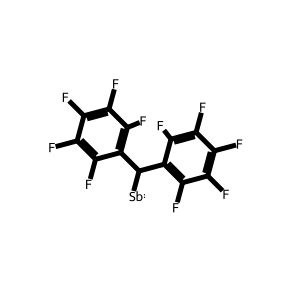 Fc1c(F)c(F)c([CH]([Sb])c2c(F)c(F)c(F)c(F)c2F)c(F)c1F